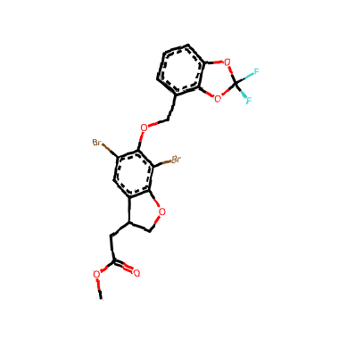 COC(=O)CC1COc2c1cc(Br)c(OCc1cccc3c1OC(F)(F)O3)c2Br